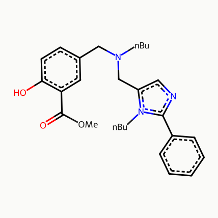 CCCCN(Cc1ccc(O)c(C(=O)OC)c1)Cc1cnc(-c2ccccc2)n1CCCC